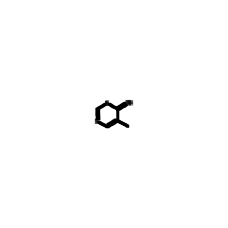 Cc1cncsc1=P